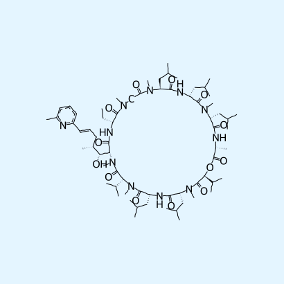 CC[C@H]1NC(=O)[C@@H]([C@H](O)[C@H](C)C/C=C/c2cccc(C)n2)N(C)C(=O)[C@@H](C(C)C)N(C)C(=O)[C@@H](CC(C)C)NC(=O)[C@@H](CC(C)C)N(C)C(=O)[C@H](C(C)C)OC(=O)[C@@H](C)NC(=O)[C@@H](CC(C)C)N(C)C(=O)[C@@H](CC(C)C)NC(=O)[C@H](CC(C)C)N(C)C(=O)CN(C)C1=O